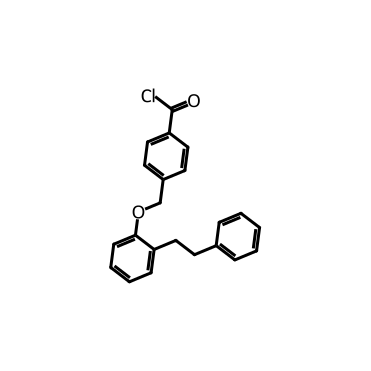 O=C(Cl)c1ccc(COc2ccccc2CCc2ccccc2)cc1